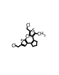 Cc1sc(CCl)cc1C1=C(c2cc(CCl)sc2C)CCC1